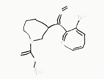 CC(C)(C)OC(=O)N1CCCC(C(=S=O)c2ncccc2[N+](=O)[O-])C1